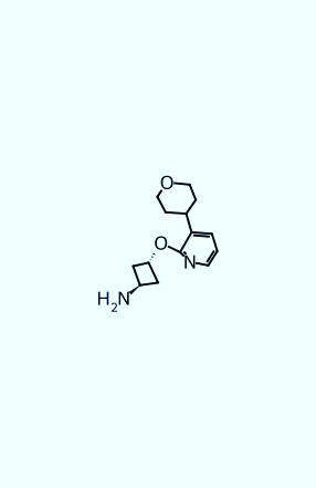 N[C@H]1C[C@H](Oc2ncccc2C2CCOCC2)C1